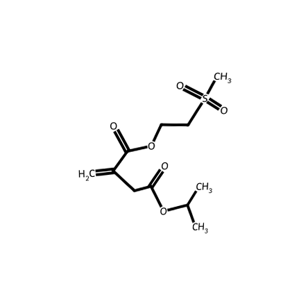 C=C(CC(=O)OC(C)C)C(=O)OCCS(C)(=O)=O